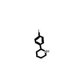 Ic1ccc(C2CCCCN2)cc1